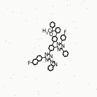 CC1(c2ccccc2)Oc2cc(-c3ccc(-c4nc(-c5ccc6cc(F)ccc6c5)nc(-n5cnc6ccccc65)n4)cc3-c3nc(-c4ccccc4)nc(-c4ccc(F)cc4)n3)ccc2-c2ccccc21